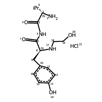 CC(C)[C@H](N)C(=O)NC(=O)[C@H](Cc1ccc(O)cc1)NCCO.Cl